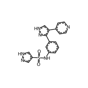 O=S(=O)(Nc1cccc(-c2n[nH]cc2-c2ccncc2)c1)c1cn[nH]c1